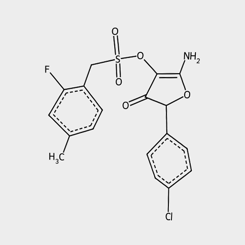 Cc1ccc(CS(=O)(=O)OC2=C(N)OC(c3ccc(Cl)cc3)C2=O)c(F)c1